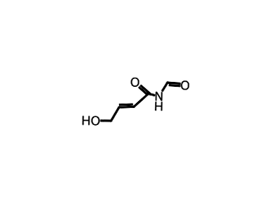 O=CNC(=O)C=CCO